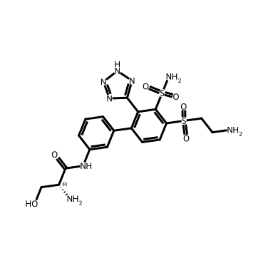 NCCS(=O)(=O)c1ccc(-c2cccc(NC(=O)[C@H](N)CO)c2)c(-c2nn[nH]n2)c1S(N)(=O)=O